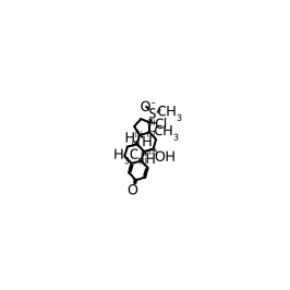 C[S+]([O-])[C@@]1(Cl)CC[C@H]2[C@@H]3CCC4=CC(=O)C=C[C@]4(C)[C@H]3[C@@H](O)C[C@@]21C